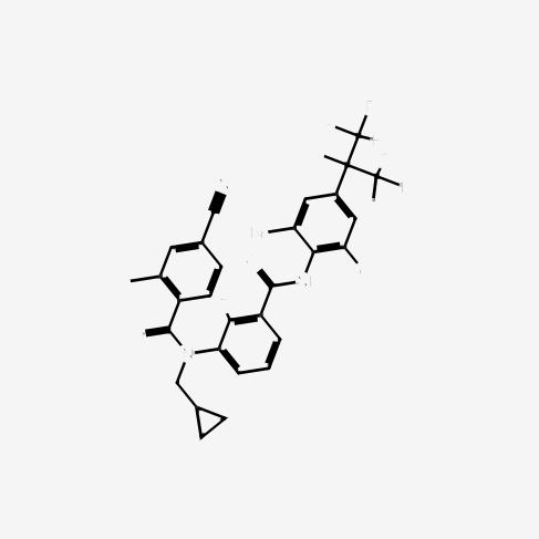 Cc1cc(C#N)ccc1C(=O)N(CC1CC1)c1cccc(C(=O)Nc2c(Cl)cc(C(F)(C(F)(F)F)C(F)(F)F)cc2Br)c1F